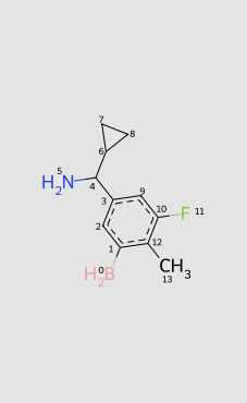 Bc1cc(C(N)C2CC2)cc(F)c1C